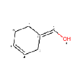 OC=C1CC=CCC1